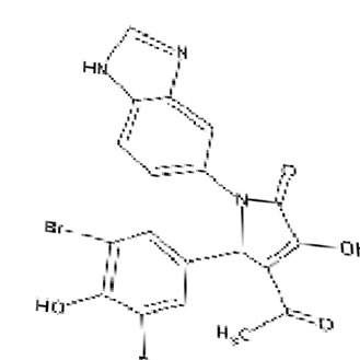 CC(=O)C1=C(O)C(=O)N(c2ccc3[nH]cnc3c2)C1c1cc(Br)c(O)c(Br)c1